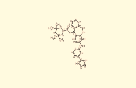 CC1(C)CN(C(=O)CN2C(=O)C(NC(=O)Nc3cccc(-c4nnn[nH]4)c3)CSc3ccccc32)CC(C)(C)C1